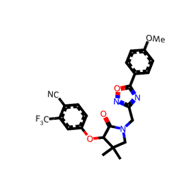 COc1ccc(-c2nc(CN3CC(C)(C)C(Oc4ccc(C#N)c(C(F)(F)F)c4)C3=O)no2)cc1